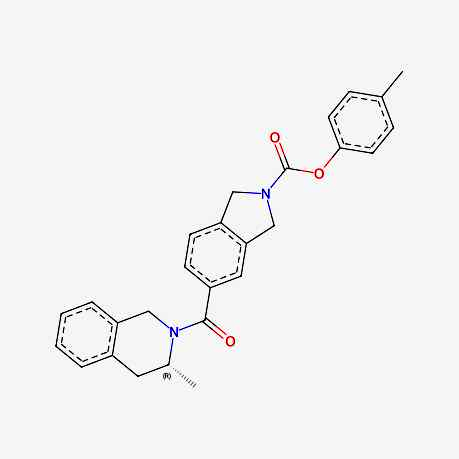 Cc1ccc(OC(=O)N2Cc3ccc(C(=O)N4Cc5ccccc5C[C@H]4C)cc3C2)cc1